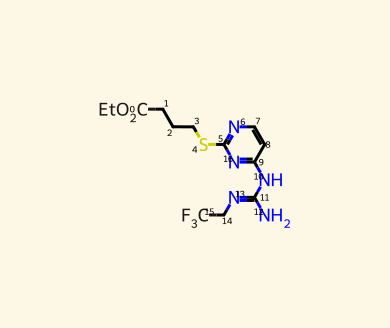 CCOC(=O)CCCSc1nccc(NC(N)=NCC(F)(F)F)n1